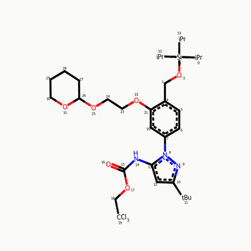 CC(C)[Si](OCc1ccc(-n2nc(C(C)(C)C)cc2NC(=O)OCC(Cl)(Cl)Cl)cc1OCCOC1CCCCO1)(C(C)C)C(C)C